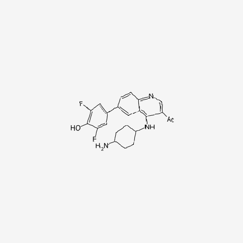 CC(=O)c1cnc2ccc(-c3cc(F)c(O)c(F)c3)cc2c1NC1CCC(N)CC1